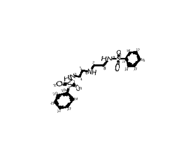 O=S(=O)(NCCNCCNS(=O)(=O)c1ccccc1)c1ccccc1